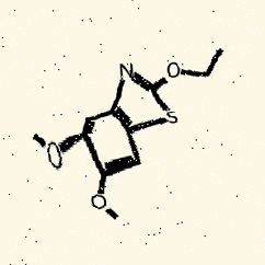 CCOc1nc2cc(OC)c(OC)cc2s1